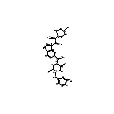 CC1CCC(C(=O)C(=O)c2c[nH]c3ccc(C(=O)N4CC(C)N(Cc5cccc(Cl)c5)CC4C)cc23)CC1